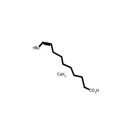 CCCC/C=C\CCCCCCCC(=O)O.[CaH2]